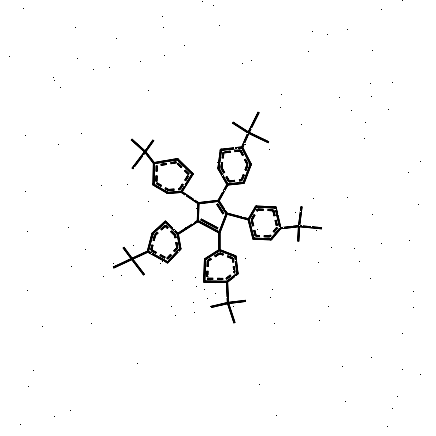 CC(C)(C)c1ccc(C2=C(c3ccc(C(C)(C)C)cc3)C(c3ccc(C(C)(C)C)cc3)C(c3ccc(C(C)(C)C)cc3)=C2c2ccc(C(C)(C)C)cc2)cc1